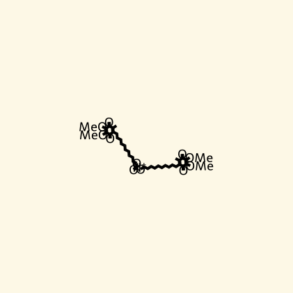 COC1=C(OC)C(=O)C(CCCCCCCCCCO[N+](=O)OCCCCCCCCCCC2=C(C)C(=O)C(OC)=C(OC)C2=O)=C(C)C1=O